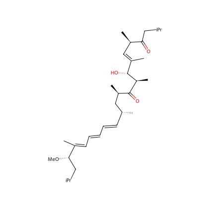 CO[C@@H](CC(C)C)/C(C)=C/C=C/C=C/[C@@H](C)C[C@@H](C)C(=O)[C@H](C)[C@H](O)/C(C)=C/[C@@H](C)C(=O)CC(C)C